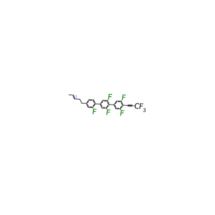 C/C=C/CCc1ccc(-c2cc(F)c(-c3cc(F)c(C#CC(F)(F)F)c(F)c3)c(F)c2)c(F)c1